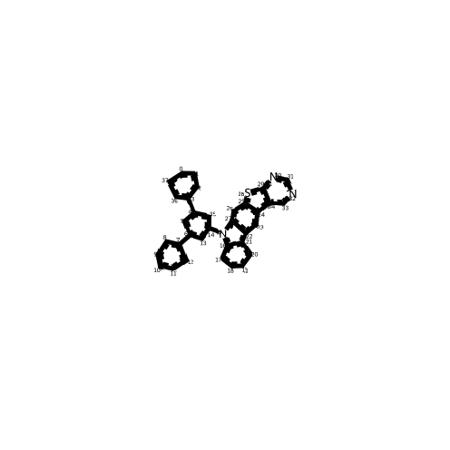 c1ccc(-c2cc(-c3ccccc3)cc(-n3c4ccccc4c4cc5c(cc43)sc3ncncc35)c2)cc1